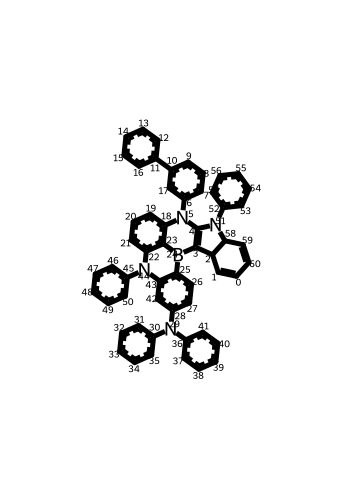 C1=CC2C3=C(N(c4cccc(-c5ccccc5)c4)c4cccc5c4B3c3ccc(N(c4ccccc4)c4ccccc4)cc3N5c3ccccc3)N(c3ccccc3)C2C=C1